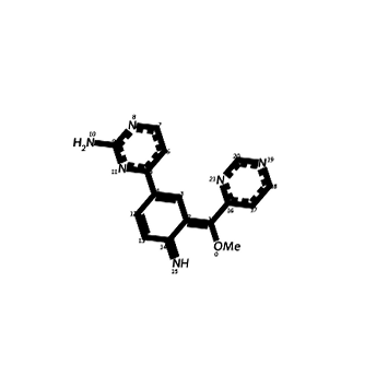 CO/C(=C1/C=C(c2ccnc(N)n2)C=CC1=N)c1ccncn1